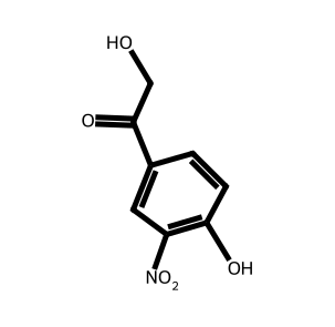 O=C(CO)c1ccc(O)c([N+](=O)[O-])c1